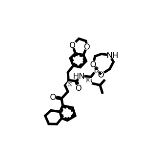 CC(C)C[C@H](NC(=O)[C@@H](CCC(=O)c1cccc2c1CCCC2)Cc1ccc2c(c1)OCCO2)B1OCCNCCO1